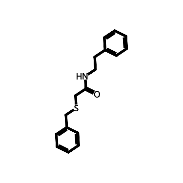 O=C(CSCc1ccccc1)NCCc1ccccc1